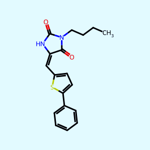 CCCCN1C(=O)NC(=Cc2ccc(-c3ccccc3)s2)C1=O